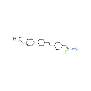 CCc1ccc([C@H]2CC[C@H](/C=C/[C@H]3CC[C@H](C=C(F)C#N)CC3)CC2)cc1